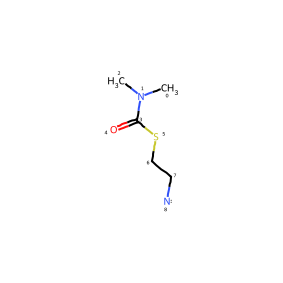 CN(C)C(=O)SCC[N]